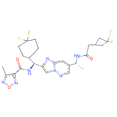 Cc1nonc1C(=O)N[C@H](c1cn2ncc([C@@H](C)NC(=O)CC3CC(F)(F)C3)cc2n1)C1CCC(F)(F)CC1